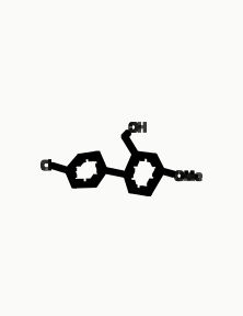 COc1ccc(-c2ccc(Cl)cc2)c(CO)c1